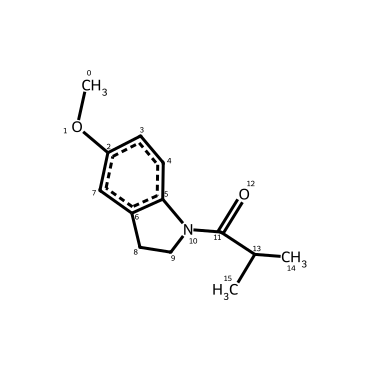 COc1ccc2c(c1)CCN2C(=O)C(C)C